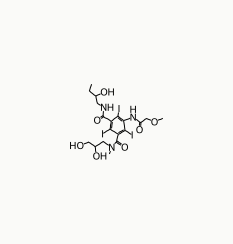 CCC(O)CNC(=O)c1c(I)c(NC(=O)COC)c(I)c(C(=O)N(C)CC(O)CO)c1I